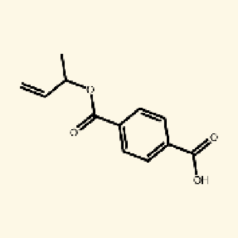 C=CC(C)OC(=O)c1ccc(C(=O)O)cc1